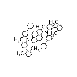 Cc1ccc(-c2c(C)cccc2C)cc1N(c1cccc(C2CCCCC2)c1)c1ccc2ccc3c(N(c4cccc(C5CCCCC5)c4)c4cc(-c5c(C)cccc5C)ccc4C)ccc4ccc1c2c43